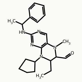 CCC1C(C=O)N(C)c2cnc(NC(C)c3ccccc3)nc2N1C1CCCC1